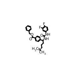 CN(C)CCCC(NC(=O)Nc1ccc(F)c(F)c1)c1ccc(C(=O)OCc2ccccc2)cc1